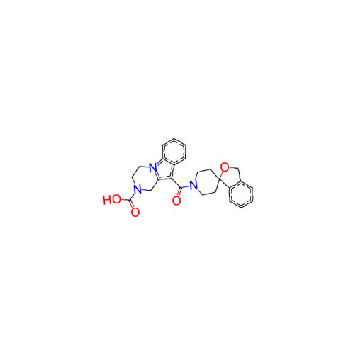 O=C(O)N1CCn2c(c(C(=O)N3CCC4(CC3)OCc3ccccc34)c3ccccc32)C1